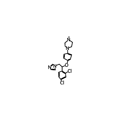 CN1CCN(c2ccc(OC(Cn3ccnc3)c3ccc(Cl)cc3Cl)cc2)CC1